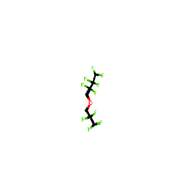 FC(F)C(F)(F)COCC(F)(F)C(F)(F)C(F)F